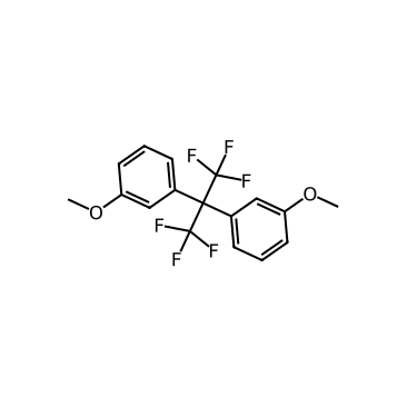 COc1cccc(C(c2cccc(OC)c2)(C(F)(F)F)C(F)(F)F)c1